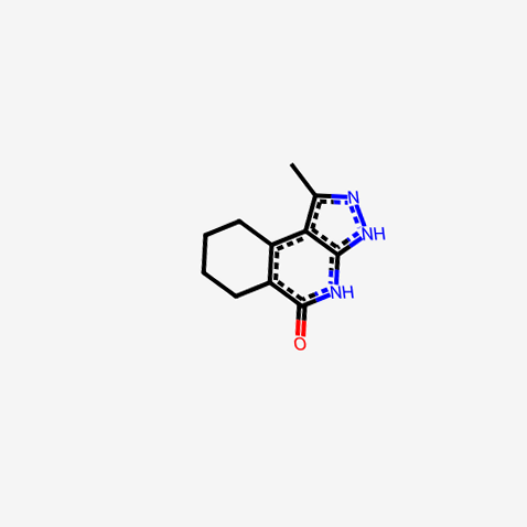 Cc1n[nH]c2[nH]c(=O)c3c(c12)CCCC3